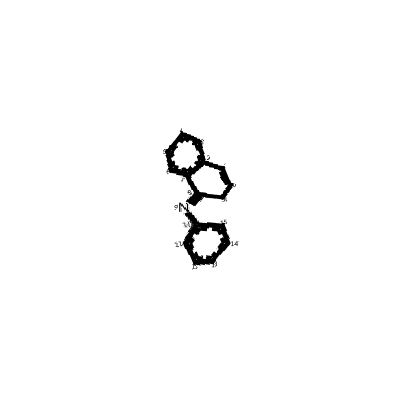 C1=Cc2ccccc2C(=Nc2ccccc2)C1